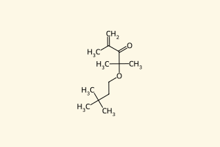 C=C(C)C(=O)C(C)(C)OCCC(C)(C)C